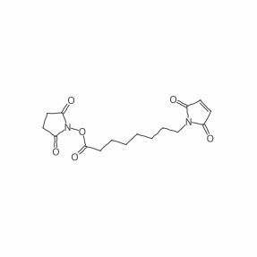 O=C(CCCCCCCN1C(=O)C=CC1=O)ON1C(=O)CCC1=O